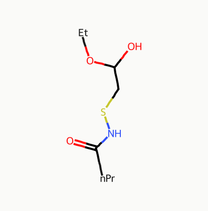 CCCC(=O)NSCC(O)OCC